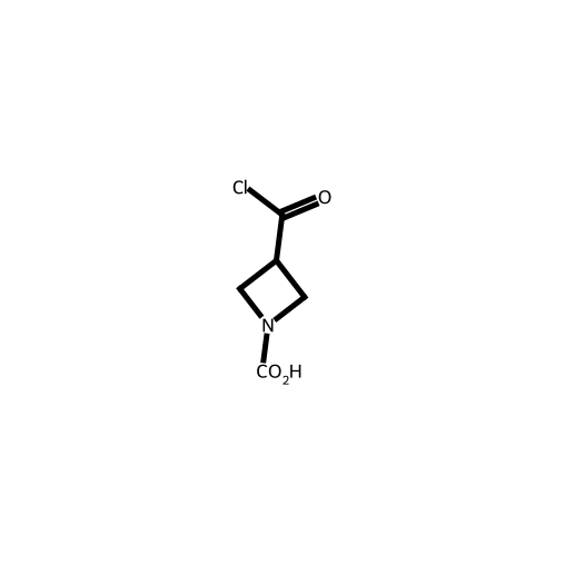 O=C(Cl)C1CN(C(=O)O)C1